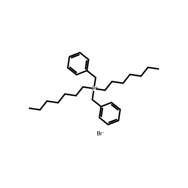 CCCCCCC[P+](CCCCCCC)(Cc1ccccc1)Cc1ccccc1.[Br-]